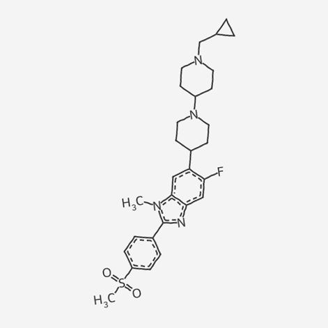 Cn1c(-c2ccc(S(C)(=O)=O)cc2)nc2cc(F)c(C3CCN(C4CCN(CC5CC5)CC4)CC3)cc21